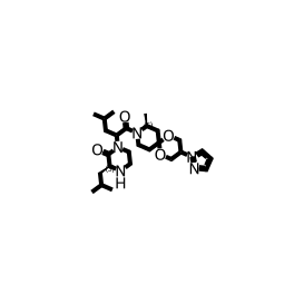 CC(C)CC(C(=O)N1CCC2(C[C@@H]1C)OCC(n1cccn1)CO2)N1CCN[C@@H](CC(C)C)C1=O